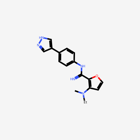 CCN(C)c1ccoc1C(=N)Nc1ccc(-c2cn[nH]c2)cc1